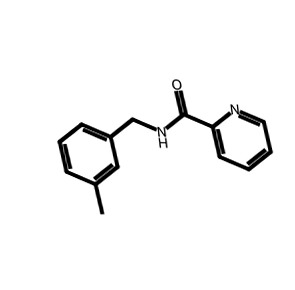 Cc1cccc(CNC(=O)c2ccccn2)c1